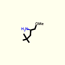 COC[C@H](N)CC(C)(C)C